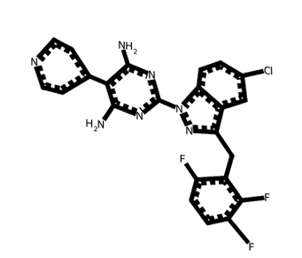 Nc1nc(-n2nc(Cc3c(F)ccc(F)c3F)c3cc(Cl)ccc32)nc(N)c1-c1ccncc1